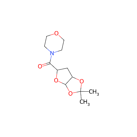 CC1(C)OC2CC(C(=O)N3CCOCC3)OC2O1